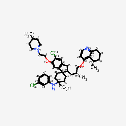 CC1CCN(CCOc2cc3c(cc2Cl)CC(C[C@@H](C)COc2ccnc4c2[C@H](C)CCC4)C32CCC(Nc3cccc(Cl)c3)(C(=O)O)CC2)CC1